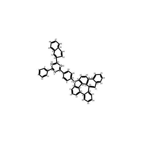 c1ccc(-c2nc(-c3ccc(-n4c5cccc6c5c5c7c(cc8ccccc8c7ccc54)-c4ccccc4-6)cc3)nc(-c3ccc4ccccc4c3)n2)cc1